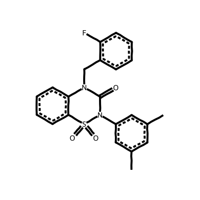 Cc1cc(C)cc(N2C(=O)N(Cc3ccccc3F)c3ccccc3S2(=O)=O)c1